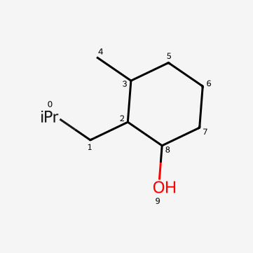 CC(C)CC1C(C)CCCC1O